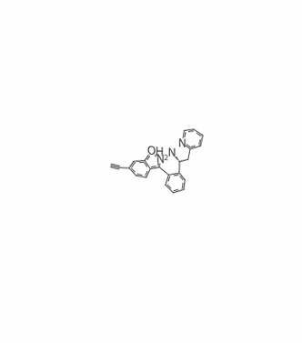 C#Cc1ccc2c(-c3ccccc3[C@@H](N)Cc3ccccn3)noc2c1